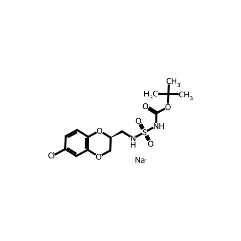 CC(C)(C)OC(=O)NS(=O)(=O)NC[C@H]1COc2cc(Cl)ccc2O1.[Na]